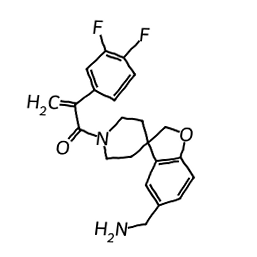 C=C(C(=O)N1CCC2(CC1)COc1ccc(CN)cc12)c1ccc(F)c(F)c1